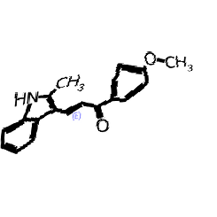 COc1ccc(C(=O)/C=C/c2c(C)[nH]c3ccccc23)cc1